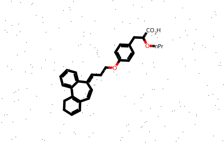 CCCOC(Cc1ccc(OCCC=C2C=CC3=C(CCC=C3)c3ccccc32)cc1)C(=O)O